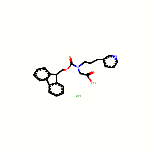 Cl.O=C(O)CN(CCCc1cccnc1)C(=O)OCC1c2ccccc2-c2ccccc21